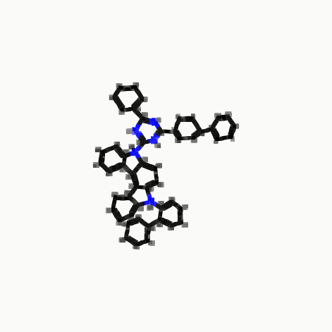 c1ccc(-c2ccc(-c3nc(-c4ccccc4)nc(-n4c5ccccc5c5c6c7ccccc7n(-c7ccccc7-c7ccccc7)c6ccc54)n3)cc2)cc1